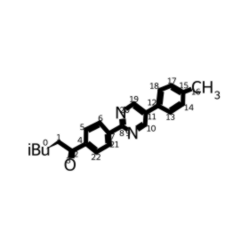 CC[C@H](C)CC(=O)c1ccc(-c2ncc(-c3ccc(C)cc3)cn2)cc1